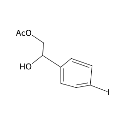 CC(=O)OCC(O)c1ccc(I)cc1